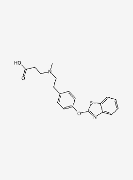 CN(CCC(=O)O)CCc1ccc(Oc2nc3ccccc3s2)cc1